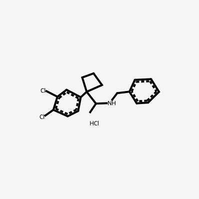 CC(NCc1ccccc1)C1(c2ccc(Cl)c(Cl)c2)CCC1.Cl